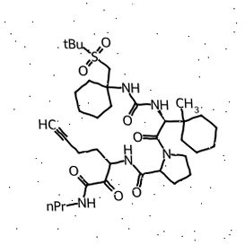 C#CCCC(NC(=O)C1CCCN1C(=O)[C@@H](NC(=O)NC1(CS(=O)(=O)C(C)(C)C)CCCCC1)C1(C)CCCCC1)C(=O)C(=O)NCCC